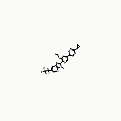 CCSc1cc(-c2cnc(C3CC3)nn2)cnc1-c1nc2cc(C(F)(F)C(F)(F)F)cnc2n1C